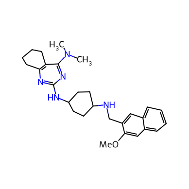 COc1cc2ccccc2cc1CNC1CCC(Nc2nc3c(c(N(C)C)n2)CCCC3)CC1